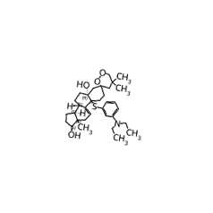 CCN(CC)c1cccc(S[C@]23CCC4(CC(C)(C)COO4)C[C@]2(O)CC[C@@H]2C3=CC[C@]3(C)[C@@H](O)CC[C@@H]23)c1